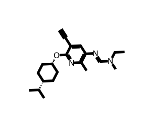 C#Cc1cc(/N=C/N(C)CC)c(C)nc1O[C@H]1CC[C@@H](C(C)C)CC1